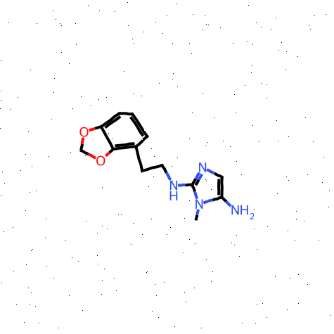 Cn1c(N)cnc1NCCc1cccc2c1OCO2